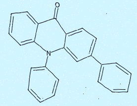 O=c1c2ccccc2n(-c2ccccc2)c2cc(-c3ccccc3)ccc12